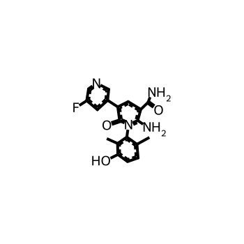 Cc1ccc(O)c(C)c1-n1c(N)c(C(N)=O)cc(-c2cncc(F)c2)c1=O